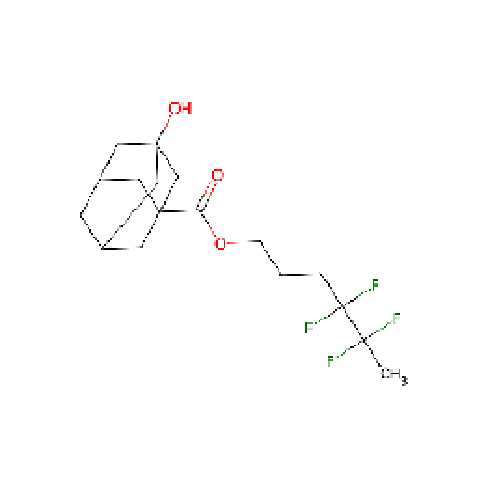 CC(F)(F)C(F)(F)CCCOC(=O)C12CC3CC(CC(O)(C3)C1)C2